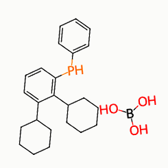 OB(O)O.c1ccc(Pc2cccc(C3CCCCC3)c2C2CCCCC2)cc1